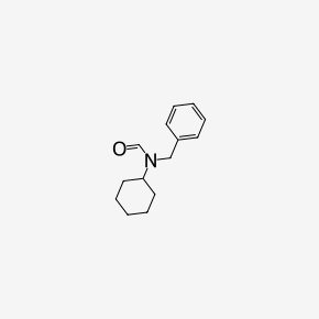 O=CN(Cc1ccccc1)C1CCCCC1